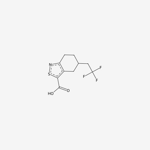 O=C(O)c1snc2c1CC(CC(F)(F)F)CC2